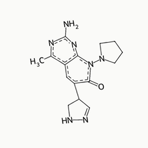 Cc1nc(N)nc2c1cc(C1C=NNC1)c(=O)n2N1CCCC1